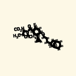 CC1O[C@H](C)[C@@H](C(=O)O)N1C(=O)c1cc(C2CC2)c(OCCCC2CC3CCCC(C2)C3)cc1F